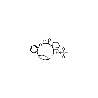 CCC1Oc2ccccc2C2CCC(CC2)OCC2[C@@H](NS(C)(=O)=O)CCCN2C1=O